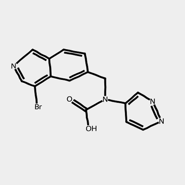 O=C(O)N(Cc1ccc2cncc(Br)c2c1)c1ccnnc1